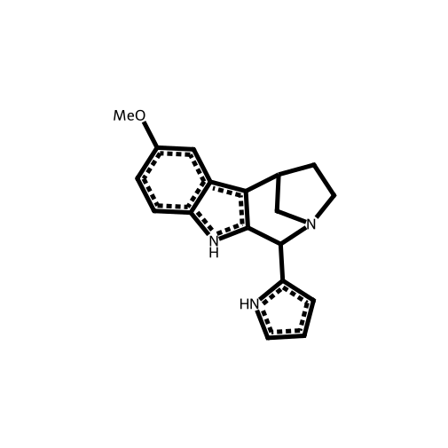 COc1ccc2[nH]c3c(c2c1)C1CCN(C1)C3c1ccc[nH]1